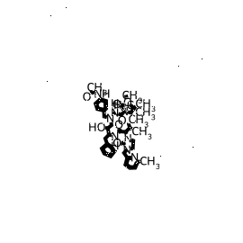 CCC(C)C(C(=O)NC(Cc1ccccc1)C(O)CN(Cc1ccc(NC(C)=O)cc1)NC(=O)N(CC(C)(C)C)C(=O)OC)N1CCN(Cc2cccc(C)n2)C1=O